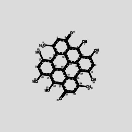 Cc1cc(=O)c2c(O)c3c(O)cc(O)c4c5c(C)cc(=O)c6c(O)c7c(O)cc(O)c8c1c2c(c34)c(c78)c65